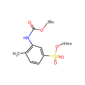 CCCCCCOS(=O)(=O)c1ccc(C)c(NC(=O)OC(C)(C)C)c1